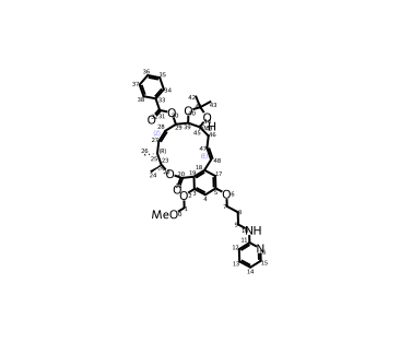 COCOc1cc(OCCCNc2ccccn2)cc2c1C(=O)O[C@@H](C)[C@H](C)/C=C\C(OC(=O)c1ccccc1)C1OC(C)(C)O[C@H]1C/C=C/2